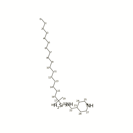 CCCCCCCCCCCCCCCCCC(C)(C)[SiH2]NCC1CCNCC1